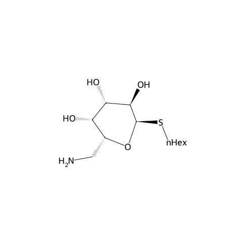 CCCCCCS[C@H]1O[C@H](CN)[C@H](O)[C@H](O)[C@H]1O